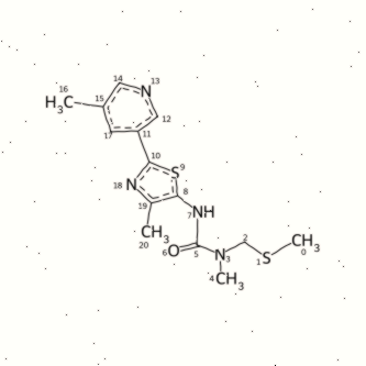 CSCN(C)C(=O)Nc1sc(-c2cncc(C)c2)nc1C